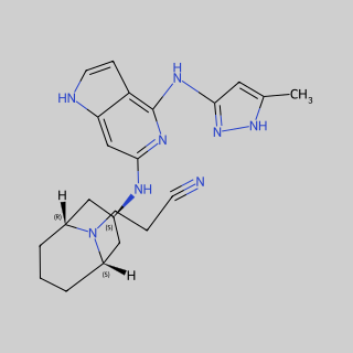 Cc1cc(Nc2nc(N[C@@H]3C[C@H]4CCC[C@@H](C3)N4CCC#N)cc3[nH]ccc23)n[nH]1